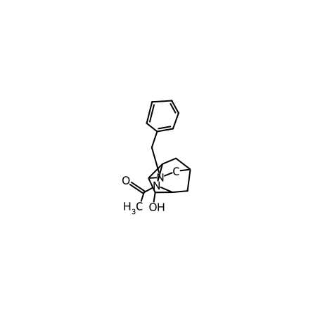 CC(=O)N1C2CC3CC1C(C2O)N(Cc1ccccc1)C3